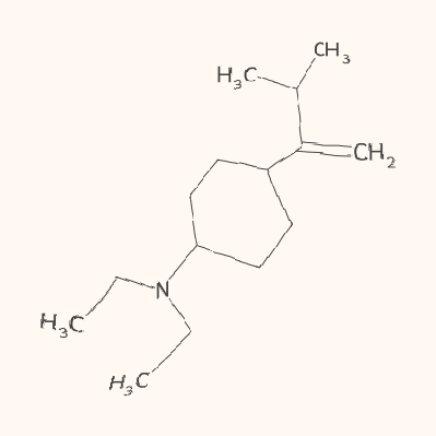 C=C(C(C)C)C1CCC(N(CC)CC)CC1